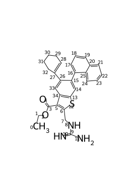 CCOC(=O)c1c(CNC(=N)N)sc2cc(-c3cccc4ccccc34)c(C3=CCCCC3)cc12